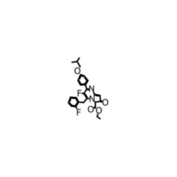 CCOC(=O)C1C(=O)C=C2N=C(c3ccc(OCC(C)C)cc3)C(F)=C(Cc3ccccc3F)N21